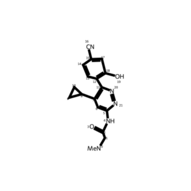 CNCC(=O)Nc1cc(C2CC2)c(-c2ccc(C#N)cc2O)nn1